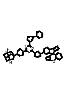 c1ccc(-c2cccc(-c3nc(-c4ccc(C56C[C@@H]7CC8C[C@@H](C5)C87C6)cc4)nc(-c4cccc(-c5ccc6c(c5)C5(c7ccccc7Oc7ccccc75)c5ccccc5-6)c4)n3)c2)cc1